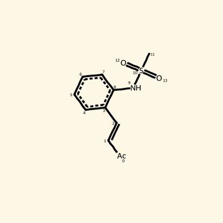 CC(=O)C=Cc1ccccc1NS(C)(=O)=O